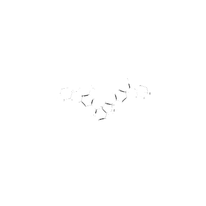 N#Cc1cc(-c2nccc3[nH]c(-c4ccc(C(=O)N5CCNCC5)cc4)cc23)ccc1OC1CCOCC1